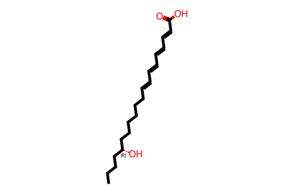 CCCC[C@@H](O)CCCCCCC=CC=CC=CC=CC(=O)O